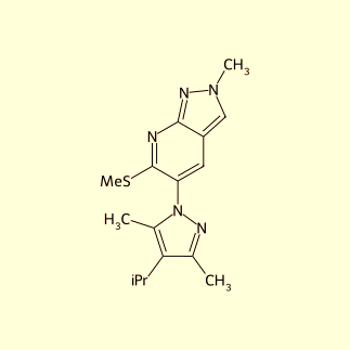 CSc1nc2nn(C)cc2cc1-n1nc(C)c(C(C)C)c1C